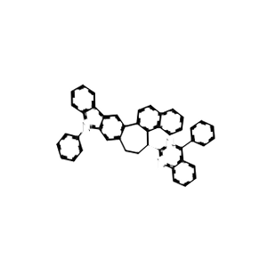 c1ccc(-c2nc([C@H]3CCc4cc5c(cc4-c4ccc6ccccc6c43)c3ccccc3n5-c3ccccc3)nc3ccccc23)cc1